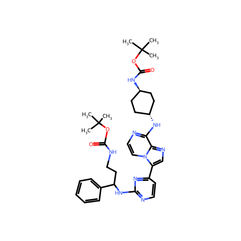 CC(C)(C)OC(=O)NCCC(Nc1nccc(-c2cnc3c(N[C@H]4CC[C@H](NC(=O)OC(C)(C)C)CC4)nccn23)n1)c1ccccc1